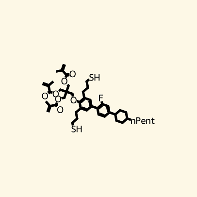 C=C(C)C(=O)OCC(COC(=O)C(=C)C)(COC(=O)C(=C)C)COc1c(CCCS)cc(-c2ccc(C3CCC(CCCCC)CC3)cc2F)cc1CCCS